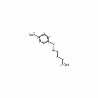 CCCCCCCCCCCCSc1ccc(SC)cc1